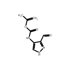 C=C(C)OC(=O)Nc1c[nH]nc1C=O